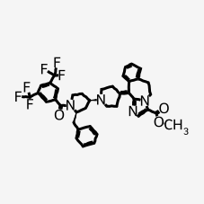 COC(=O)c1cnc2n1CCc1ccccc1C2=C1CCN([C@@H]2CCN(C(=O)c3cc(C(F)(F)F)cc(C(F)(F)F)c3)[C@H](Cc3ccccc3)C2)CC1